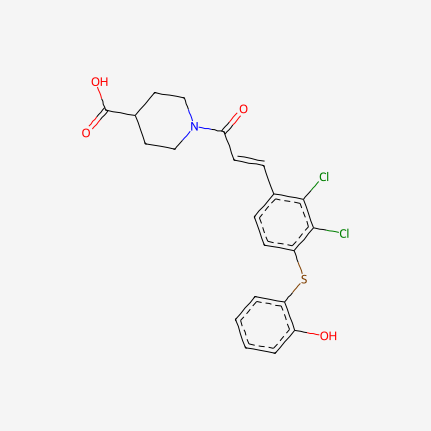 O=C(O)C1CCN(C(=O)C=Cc2ccc(Sc3ccccc3O)c(Cl)c2Cl)CC1